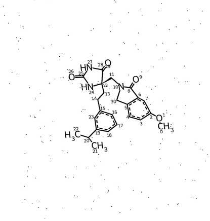 COc1ccc2c(c1)C(=O)N(C[C@@]1(CCc3cccc(C(C)C)c3)NC(=O)NC1=O)C2